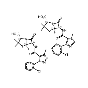 Cc1onc(-c2ccccc2Cl)c1C(=O)N[C@@H]1C(=O)N2[C@@H]1SC(C)(C)[C@@H]2C(=O)O.Cc1onc(-c2ccccc2Cl)c1C(=O)N[C@@H]1C(=O)N2[C@@H]1SC(C)(C)[C@@H]2C(=O)O